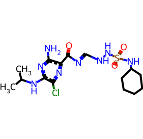 CC(C)Nc1nc(N)c(C(=O)N=CNNS(=O)(=O)NC2CCCCC2)nc1Cl